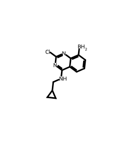 Bc1cccc2c(NCC3CC3)nc(Cl)nc12